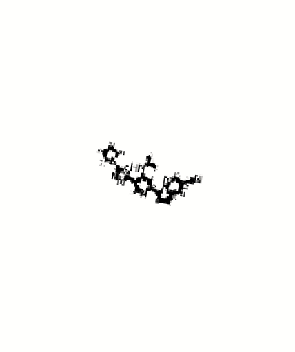 CC(C)Nc1cc(-c2ccc3cc(C#N)cnn23)ncc1-c1nnc(N2CCCC2)s1